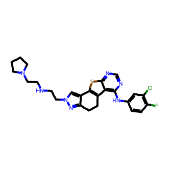 Fc1ccc(Nc2ncnc3sc4c(c23)CCc2nn(CCNCCN3CCCC3)cc2-4)cc1Cl